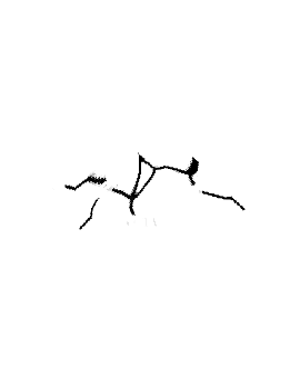 CCOC(=O)C1CC1(C)N(CC)CC